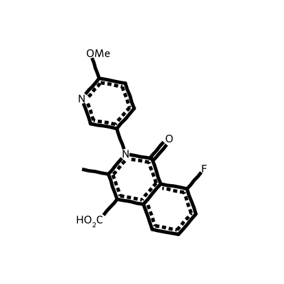 COc1ccc(-n2c(C)c(C(=O)O)c3cccc(F)c3c2=O)cn1